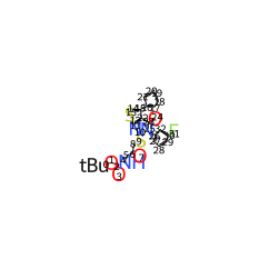 CC(C)(C)OC(=O)NCC(=O)CSc1nc2scc(-c3ccccc3)c2c(=O)n1-c1cccc(F)c1